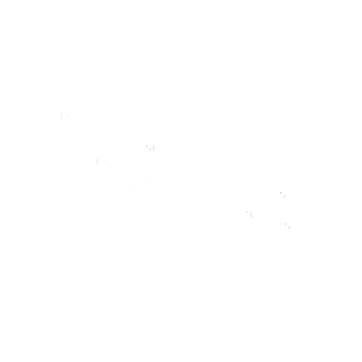 CSCC[C@H](NC(=O)c1ccc(C=C(Cn2ccnc2)c2nccs2)cc1-c1ccc(F)cc1)C(=O)O